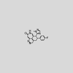 Cn1ncnc1C1C2=CNC(=O)C=C3N=NCC(=C32)CC1c1ccc(F)cc1